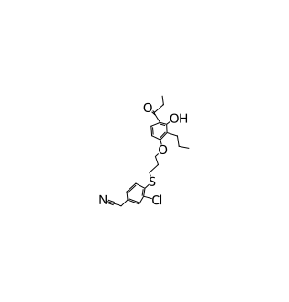 CCCc1c(OCCCSc2ccc(CC#N)cc2Cl)ccc(C(=O)CC)c1O